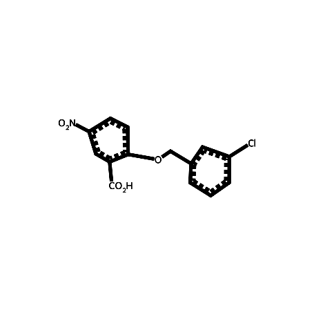 O=C(O)c1cc([N+](=O)[O-])ccc1OCc1cccc(Cl)c1